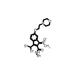 CCC(CC)C1=C(C(=O)NC(C)C)/C(=[N+](\C)[O-])c2cc(OCCN3CCOCC3)ccc21